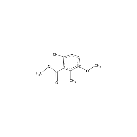 COC(=O)c1c(Cl)cc[n+](OC)c1C